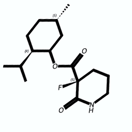 CC(C)[C@H]1CC[C@H](C)CC1OC(=O)[C@]1(F)CCCNC1=O